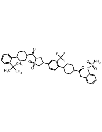 CC(C)(C)c1ccccc1C1CCN(C(=O)C2CC(c3ccc(C4CCN(C(=O)Cc5ccccc5OS(N)(=O)=O)CC4)c(C(F)(F)F)c3)CS2(=O)=O)CC1